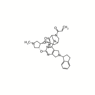 C=CC(=O)N1CC2CS(=O)(=O)CC1CN2c1nc(O[C@@H]2CN(C)C[C@H]2OC)nc2c1CN(C1CCc3ccccc31)C2